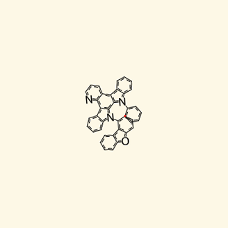 c1ccc(-n2c3ccccc3c3c4cccnc4c4c5ccccc5n(-c5cccc6oc7ccccc7c56)c4c32)cc1